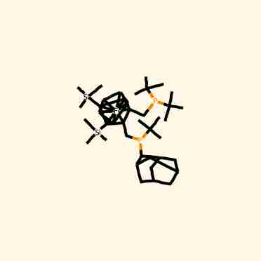 CC(C)(C)P(C[C]12[C]3(CP(C(C)(C)C)C(C)(C)C)[CH]4[C]5([Si](C)(C)C)[C]1([Si](C)(C)C)[Fe]43251678[CH]2[CH]1[CH]6[CH]7[CH]28)C1C2CC3CC(C2)CC1C3